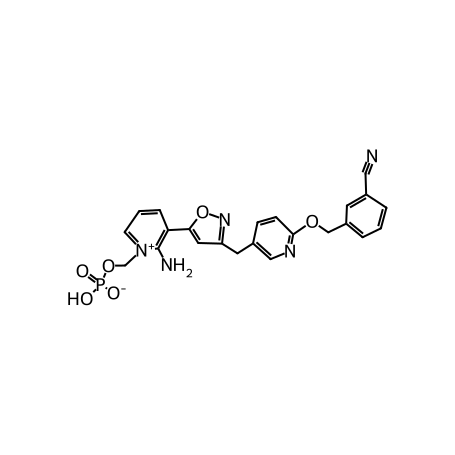 N#Cc1cccc(COc2ccc(Cc3cc(-c4ccc[n+](COP(=O)([O-])O)c4N)on3)cn2)c1